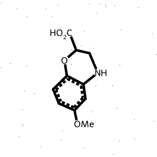 COc1ccc2c(c1)NCC(C(=O)O)O2